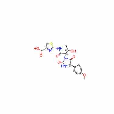 COc1ccc([C@H]2NC(=O)N([C@H](C(=O)Nc3nc(C(=O)O)cs3)[C@@H](C)O)C2=O)cc1